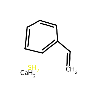 C=Cc1ccccc1.S.[CaH2]